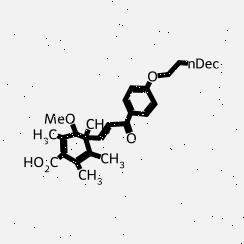 CCCCCCCCCCCCOc1ccc(C(=O)C=CC2(C)C(C)=C(C)C(C(=O)O)=C(C)C2OC)cc1